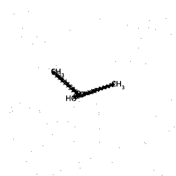 CCCCCCCCCCCCCCCCCCOC[C@H](CCO)OCCCCCCCCCCCCCCCCCC